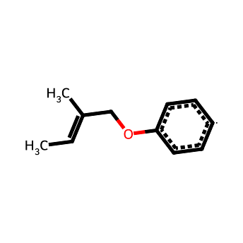 CC=C(C)COc1cc[c]cc1